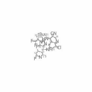 Cc1nc(F)ccc1[C@H](Nc1cc(Cl)c2ncc(C#N)c(NCC(C)(C)C)c2c1)c1nnn(C2(C(F)F)CC2)c1F